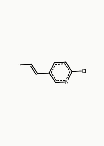 [CH2]/C=C/c1ccc(Cl)nc1